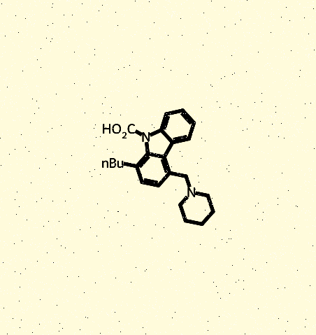 CCCCc1ccc(CN2CCCCC2)c2c3ccccc3n(C(=O)O)c12